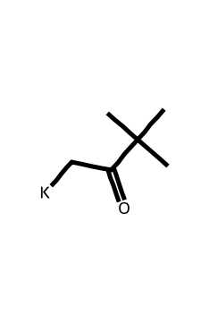 CC(C)(C)C(=O)[CH2][K]